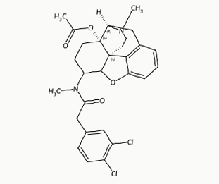 CC(=O)O[C@@]12CCC(N(C)C(=O)Cc3ccc(Cl)c(Cl)c3)C3Oc4cccc5c4[C@@]31CCN(C)[C@@H]2C5